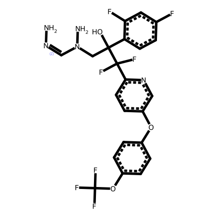 N/N=C\N(N)CC(O)(c1ccc(F)cc1F)C(F)(F)c1ccc(Oc2ccc(OC(F)(F)F)cc2)cn1